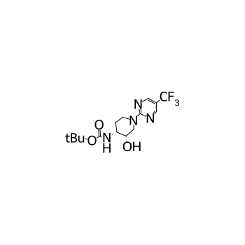 CC(C)(C)OC(=O)N[C@@H]1CCN(c2ncc(C(F)(F)F)cn2)C[C@@H]1O